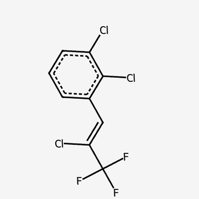 FC(F)(F)C(Cl)=Cc1cccc(Cl)c1Cl